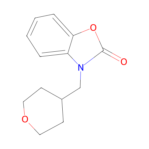 O=c1oc2ccccc2n1CC1CCOCC1